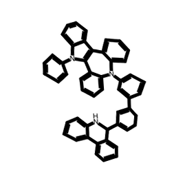 C1=C(c2cccc(N3c4ccccc4-c4c(n(-c5ccccc5)c5ccccc45)-c4ccccc43)c2)CCC=C1C1Nc2ccccc2-c2ccccc21